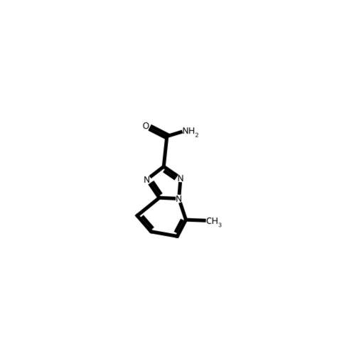 Cc1cccc2nc(C(N)=O)nn12